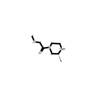 COCC(=O)N1CCN[C@H](C)C1